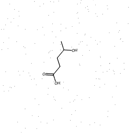 CC(O)CCC(=O)O